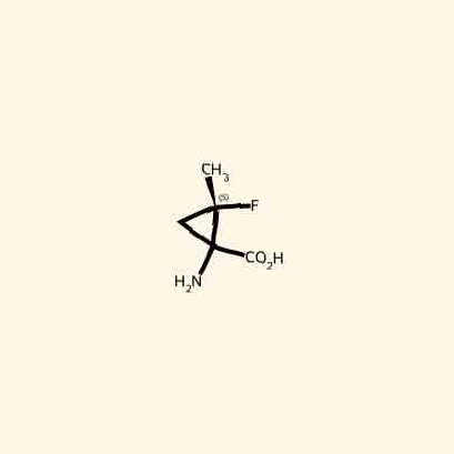 C[C@]1(F)CC1(N)C(=O)O